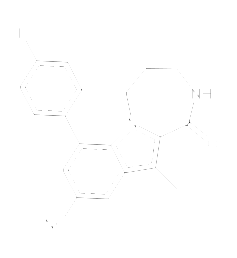 Cc1c2n(c3c(-c4ccc(F)cc4)cc(C#N)cc13)CCCNC2=O